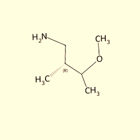 COC(C)[C@H](C)CN